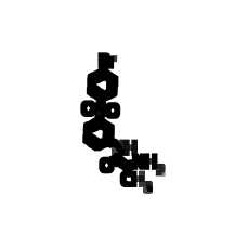 CC(N)C(=O)Nc1cccc(S(=O)(=O)c2ccc(Br)cc2)c1